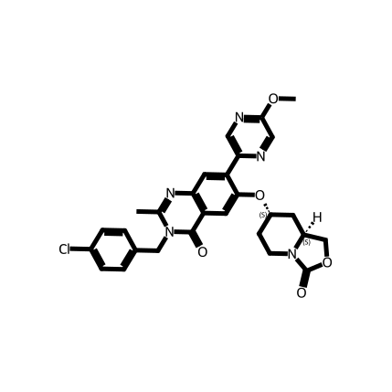 COc1cnc(-c2cc3nc(C)n(Cc4ccc(Cl)cc4)c(=O)c3cc2O[C@H]2CCN3C(=O)OC[C@@H]3C2)cn1